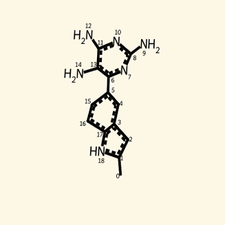 Cc1cc2cc(-c3nc(N)nc(N)c3N)ccc2[nH]1